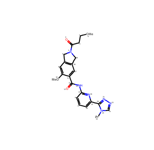 COCCC(=O)N1Cc2cc(OC)c(C(=O)Nc3cccc(-c4nncn4C(C)C)n3)cc2C1